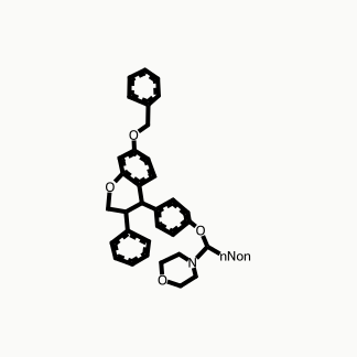 CCCCCCCCCC(Oc1ccc(C2c3ccc(OCc4ccccc4)cc3OCC2c2ccccc2)cc1)N1CCOCC1